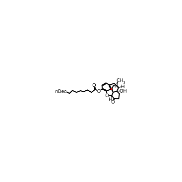 CCCCCCCCCCCCCCCCCC(=O)Oc1ccc2c3c1O[C@H]1C(=O)CC[C@@]4(O)[C@@H](C2)N(C)CC[C@]314